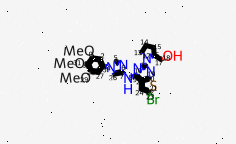 COc1cc(-n2cnc(Nc3nc(N4CCCC4CO)nc4sc(Br)cc34)c2)cc(OC)c1OC